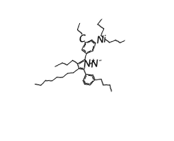 CCCCCCCCC1=C(c2cccc(CCCC)c2)[N+](=[N-])C(c2cccc(CCCC)c2)=C1CCCC.CCC[CH2][Ni][CH2]CCC